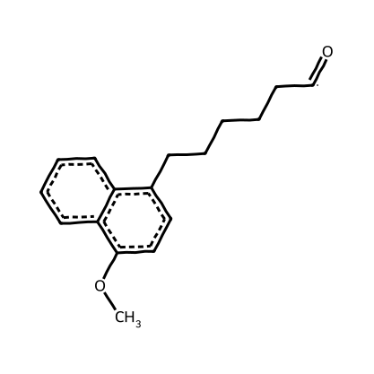 COc1ccc(CCCCC[C]=O)c2ccccc12